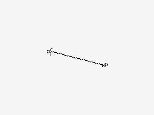 O=C=NCCCCCCCCCCCCCCCCCCCCCCCCCCCCCCCCCCCCCCCC[SiH](Cl)Cl